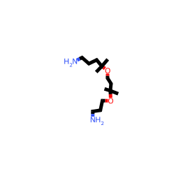 CC(C)(CCCN)OCCC(C)(C)OCCCN